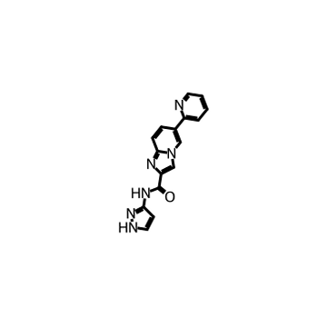 O=C(Nc1cc[nH]n1)c1cn2cc(-c3ccccn3)ccc2n1